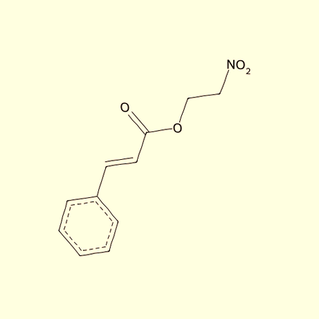 O=C(/C=C/c1ccccc1)OCC[N+](=O)[O-]